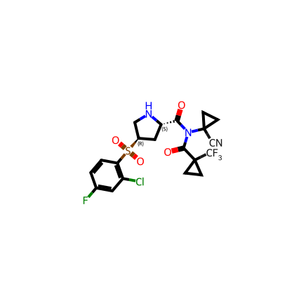 N#CC1(N(C(=O)[C@@H]2C[C@@H](S(=O)(=O)c3ccc(F)cc3Cl)CN2)C(=O)C2(C(F)(F)F)CC2)CC1